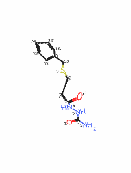 NC(=O)NNC(=O)CCSCc1ccccc1